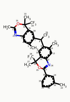 CC1=Nc2cc(C)c(C(c3cc4c(cc3C)N=C(c3cccc(C)c3)OC4(C)C(F)(F)F)C(F)(F)F)cc2C(C)(C(F)(F)F)O1